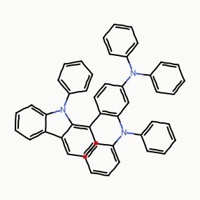 c1ccc(N(c2ccccc2)c2ccc(-c3cccc4c5ccccc5n(-c5ccccc5)c34)c(N(c3ccccc3)c3ccccc3)c2)cc1